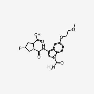 COCCOc1ccc2c(c1)c(NC(=O)N1C[C@H](F)C[C@H]1C(=O)O)cn2C(N)=O